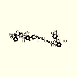 Cc1cc(Nc2ncc(Cl)c(Nc3ccccc3S(=O)(=O)C(C)C)n2)c(OC(C)C)cc1C1CCN(CC(=O)NCCOCCOCCNc2cccc(C=O)c2C(=O)N(C)C2CCC(=O)NC2=O)CC1